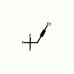 C[CH]C#CCC(F)(F)F